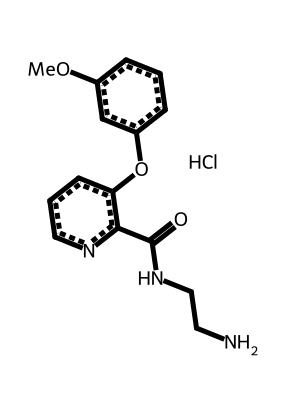 COc1cccc(Oc2cccnc2C(=O)NCCN)c1.Cl